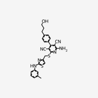 Cc1cccc(Nc2nc(CSc3nc(N)c(C#N)c(-c4ccc(CCCO)cc4)c3C#N)cs2)c1